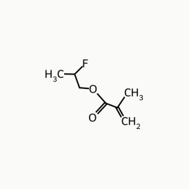 C=C(C)C(=O)OCC(C)F